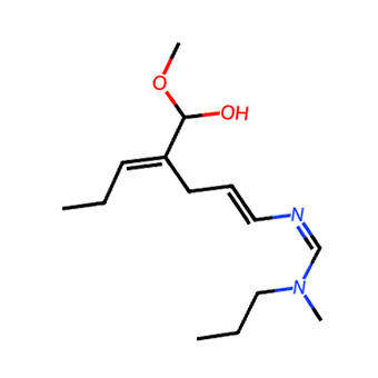 CC/C=C(\CC=C/N=C\N(C)CCC)C(O)OC